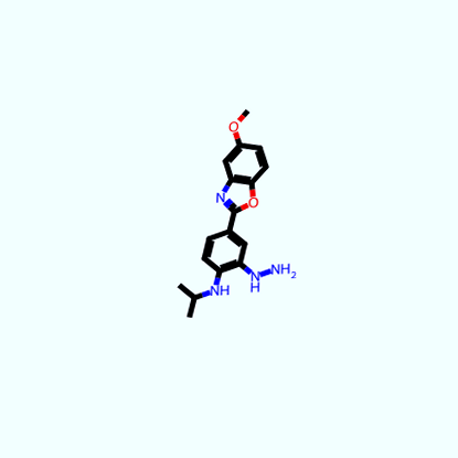 COc1ccc2oc(-c3ccc(NC(C)C)c(NN)c3)nc2c1